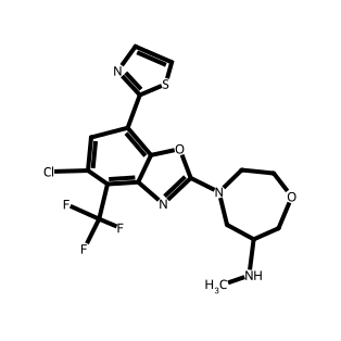 CNC1COCCN(c2nc3c(C(F)(F)F)c(Cl)cc(-c4nccs4)c3o2)C1